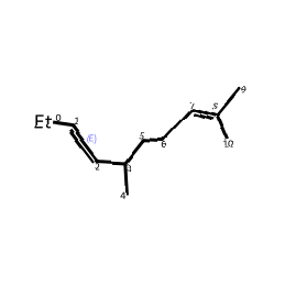 CC/C=C/C(C)CCC=C(C)C